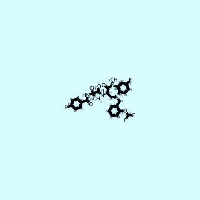 CN1C(=O)[C@H](NC(=O)C(C)(C)NC(=O)c2ccc(F)cc2)CN(Cc2ccccc2OC(F)F)c2ccc(F)cc21